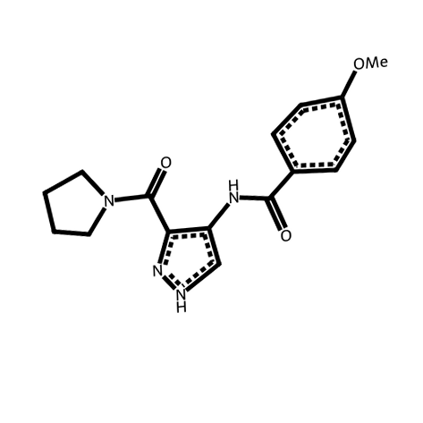 COc1ccc(C(=O)Nc2c[nH]nc2C(=O)N2CCCC2)cc1